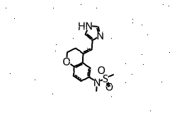 CN(c1ccc2c(c1)/C(=C/c1c[nH]cn1)CCO2)S(C)(=O)=O